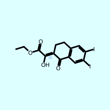 CCOC(=O)/C(O)=C1\CCc2cc(I)c(I)cc2C1=O